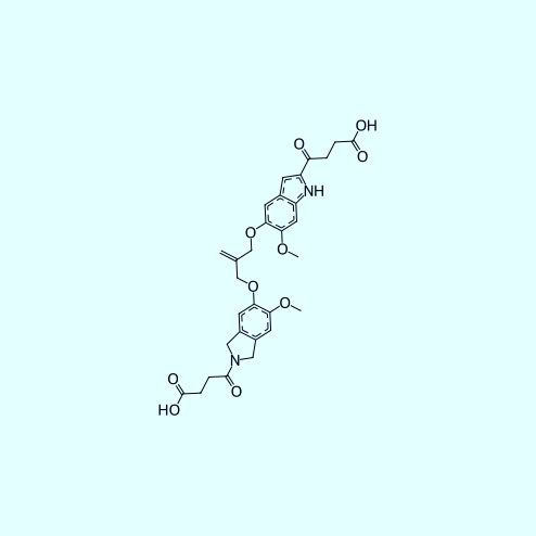 C=C(COc1cc2c(cc1OC)CN(C(=O)CCC(=O)O)C2)COc1cc2cc(C(=O)CCC(=O)O)[nH]c2cc1OC